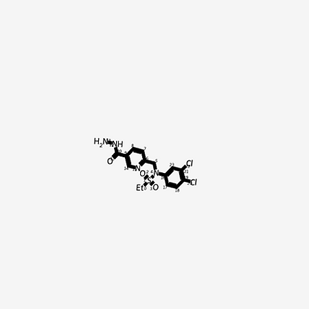 CCS(=O)(=O)N(Cc1ccc(C(=O)NN)cn1)c1ccc(Cl)c(Cl)c1